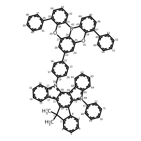 CC1(C)c2ccccc2-c2c1c1c3ccccc3n(-c3ccc(-c4cc5c6c(c4)Oc4c(cccc4-c4ccccc4)B6c4cccc(-c6ccccc6)c4O5)cc3)c1c1c3ccccc3n(-c3ccccc3)c21